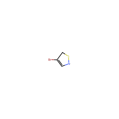 BrC1=C[N]SC1